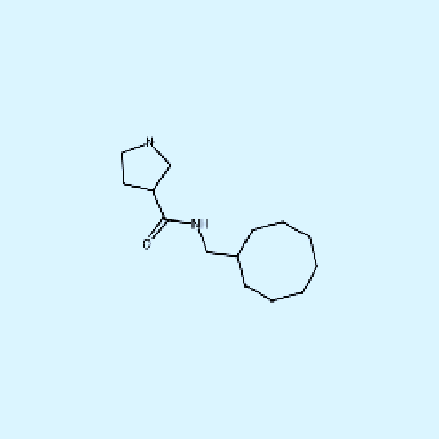 O=C(NCC1CCCCCCC1)C1CC[N]C1